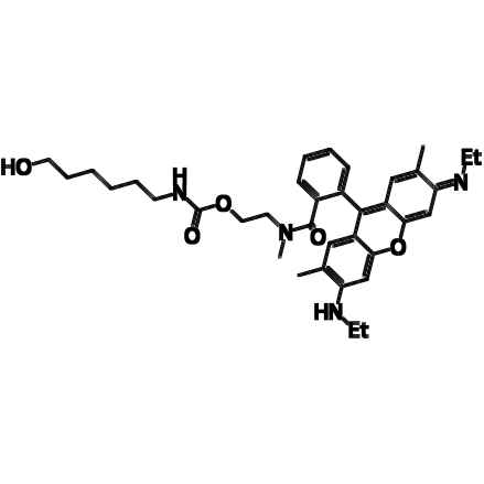 CC/N=c1/cc2oc3cc(NCC)c(C)cc3c(-c3ccccc3C(=O)N(C)CCOC(=O)NCCCCCCO)c-2cc1C